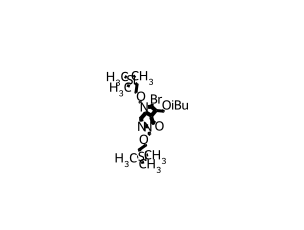 CC(C)COCc1c(Br)n(COCC[Si](C)(C)C)c2cnn(COCC[Si](C)(C)C)c(=O)c12